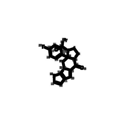 CC(C)C(=O)N1CCN2C(=O)c3cc4ccsc4n3CC21c1ccc(F)cc1